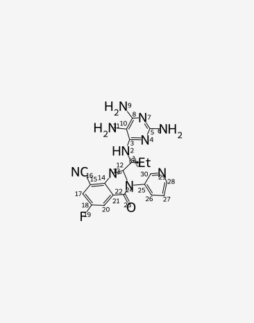 CC[C@H](Nc1nc(N)nc(N)c1N)c1nc2c(C#N)cc(F)cc2c(=O)n1-c1cccnc1